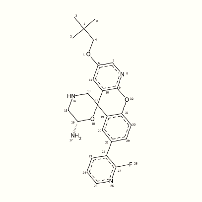 CC(C)(C)COc1cnc2c(c1)C1(CNC[C@@H](N)O1)c1cc(-c3cccnc3F)ccc1O2